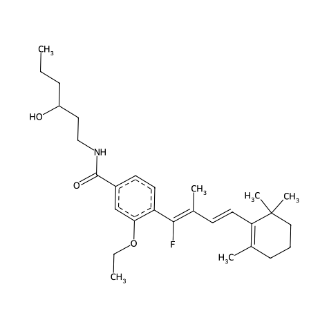 CCCC(O)CCNC(=O)c1ccc(/C(F)=C(C)/C=C/C2=C(C)CCCC2(C)C)c(OCC)c1